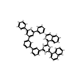 c1ccc(-c2cc(-c3cccc(-c4cccc(-c5nc(-c6cccc7ccccc67)nc(-c6nccc7ccccc67)n5)c4)c3)cc(-c3ccccc3)n2)cc1